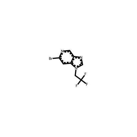 FC(F)(F)Cn1cnc2cnc(Br)cc21